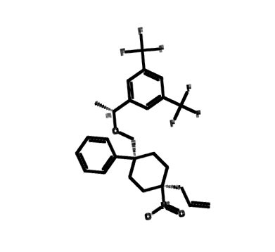 C=CC[C@]1([N+](=O)[O-])CC[C@@](CO[C@H](C)c2cc(C(F)(F)F)cc(C(F)(F)F)c2)(c2ccccc2)CC1